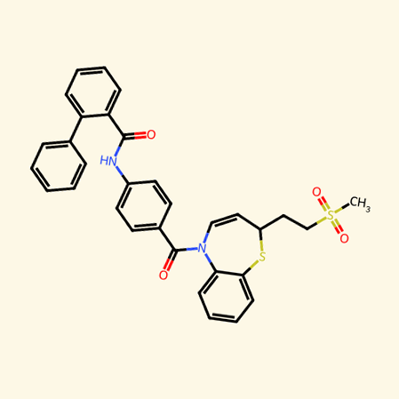 CS(=O)(=O)CCC1C=CN(C(=O)c2ccc(NC(=O)c3ccccc3-c3ccccc3)cc2)c2ccccc2S1